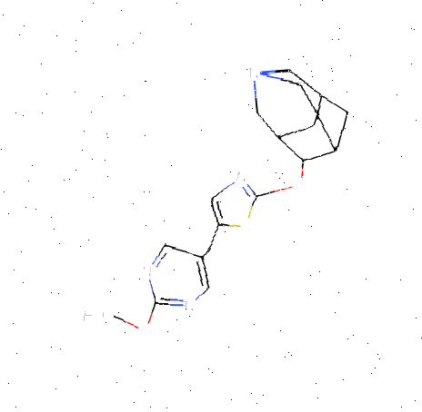 COc1ncc(-c2cnc(OC3C4CC5CC3CN(C5)C4)s2)cn1